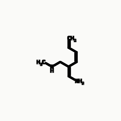 C=C/C=C\C(=C/N)CNC